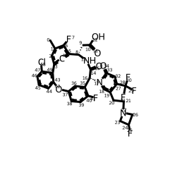 Cc1cc2cc(c1F)[C@H](CC(=O)O)NC(=O)[C@H](n1cc(CCN3CC(F)C3)c(C(F)(F)F)cc1=O)c1cc(ccc1F)Oc1cccc(Cl)c1-2